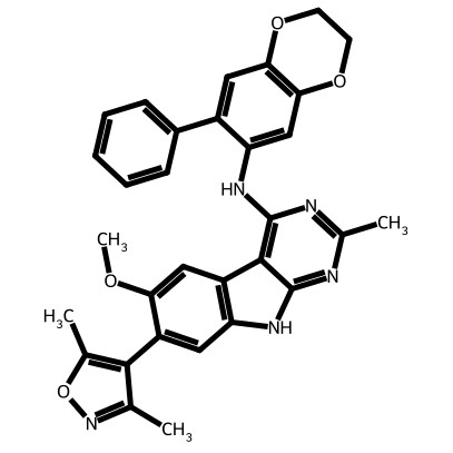 COc1cc2c(cc1-c1c(C)noc1C)[nH]c1nc(C)nc(Nc3cc4c(cc3-c3ccccc3)OCCO4)c12